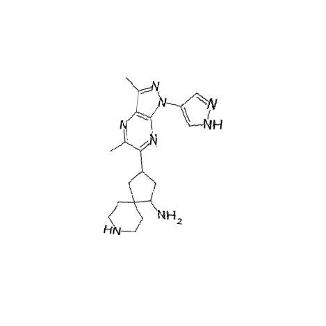 Cc1nc2c(C)nn(-c3cn[nH]c3)c2nc1C1CC(N)C2(CCNCC2)C1